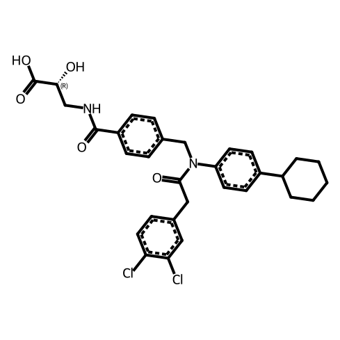 O=C(NC[C@@H](O)C(=O)O)c1ccc(CN(C(=O)Cc2ccc(Cl)c(Cl)c2)c2ccc(C3CCCCC3)cc2)cc1